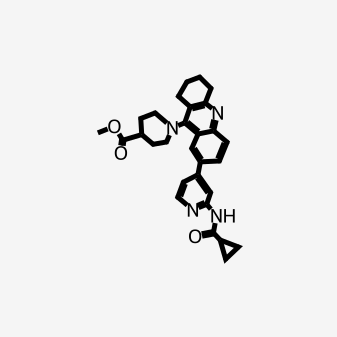 COC(=O)C1CCN(c2c3c(nc4ccc(-c5ccnc(NC(=O)C6CC6)c5)cc24)CCCC3)CC1